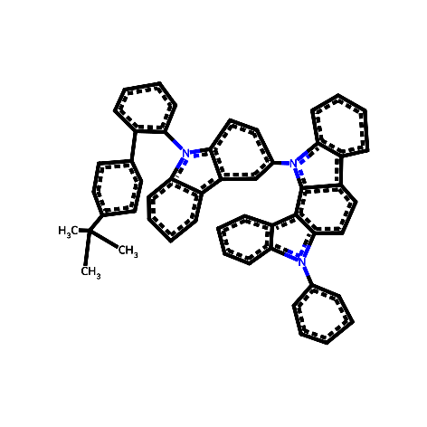 CC(C)(C)c1ccc(-c2ccccc2-n2c3ccccc3c3cc(-n4c5ccccc5c5ccc6c(c7ccccc7n6-c6ccccc6)c54)ccc32)cc1